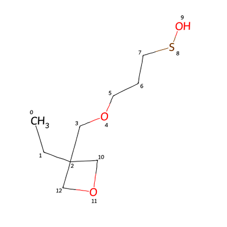 CCC1(COCCCSO)COC1